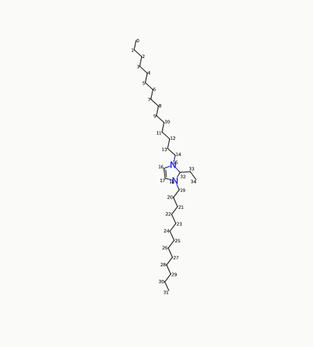 CCCCCCCCCCCCCCCN1C=CN(CCCCCCCCCCCCC)C1CC